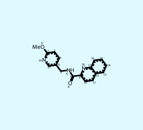 COc1ccc(CNC(=O)c2ccc3ccccc3n2)cn1